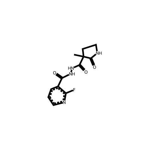 CC1(C(=O)NNC(=O)c2cccnc2F)CCNC1=O